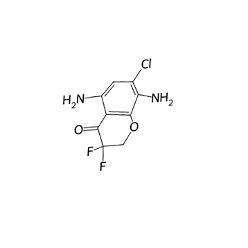 Nc1cc(Cl)c(N)c2c1C(=O)C(F)(F)CO2